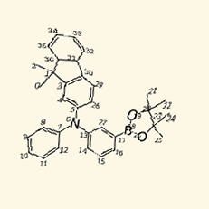 CC1(C)c2cc(N(c3ccccc3)c3cccc(B4OC(C)(C)C(C)(C)O4)c3)ccc2C2C=CC=CC21